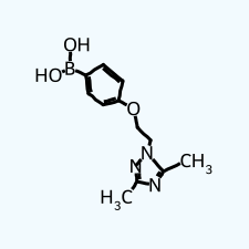 Cc1nc(C)n(CCOc2ccc(B(O)O)cc2)n1